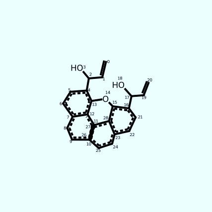 C=CC(O)c1ccc2ccccc2c1Oc1c(C(O)C=C)ccc2ccccc12